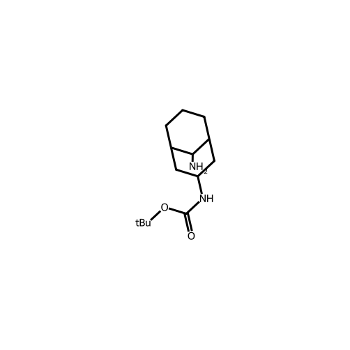 CC(C)(C)OC(=O)NC1CC2CCCC(C1)C2N